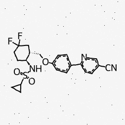 N#Cc1ccc(-c2ccc(OC[C@H]3CC(F)(F)CC[C@@H]3NS(=O)(=O)C3CC3)cc2)nc1